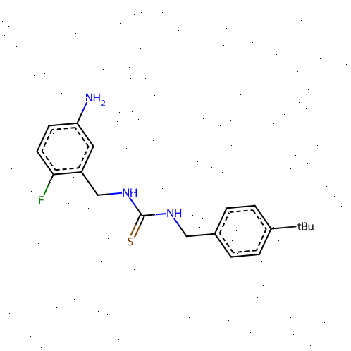 CC(C)(C)c1ccc(CNC(=S)NCc2cc(N)ccc2F)cc1